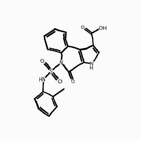 Cc1ccccc1NS(=O)(=O)n1c(=O)c2[nH]cc(C(=O)O)c2c2ccccc21